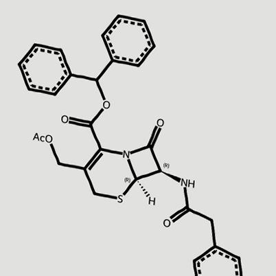 CC(=O)OCC1=C(C(=O)OC(c2ccccc2)c2ccccc2)N2C(=O)[C@@H](NC(=O)Cc3ccccc3)[C@H]2SC1